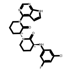 O=C1[C@H](N2CCC[C@H](Nc3cc(F)cc(Cl)c3)C2=O)CCCN1c1ncnc2[nH]ccc12